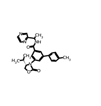 Cc1ccc(-c2cc(C(=O)NC(C)c3cnccn3)cc(N3C(=O)OC[C@@H]3C(C)C)c2)cc1